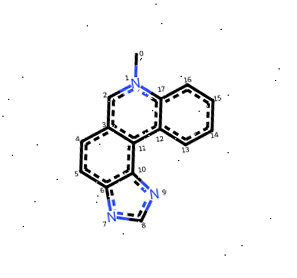 Cn1cc2ccc3ncnc3c2c2ccccc21